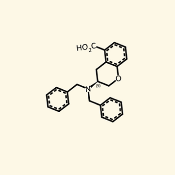 O=C(O)c1cccc2c1C[C@H](N(Cc1ccccc1)Cc1ccccc1)CO2